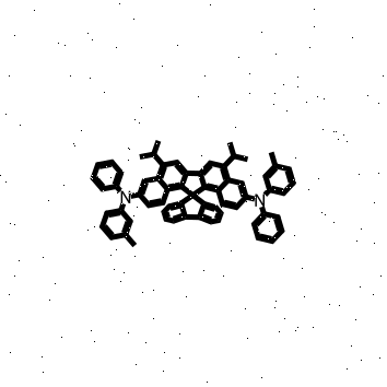 Cc1cccc(N(c2ccccc2)c2ccc3c4c(cc(C(C)C)c3c2)-c2cc(C(C)C)c3cc(N(c5ccccc5)c5cccc(C)c5)ccc3c2C42c3ccccc3-c3ccccc32)c1